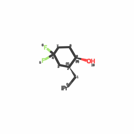 CC(C)C[C@@H]1CC(F)(F)CC[C@H]1O